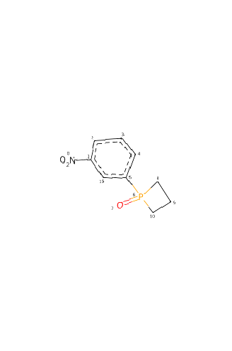 O=[N+]([O-])c1cccc(P2(=O)CCC2)c1